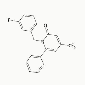 O=c1cc(C(F)(F)F)cc(-c2ccccc2)n1Cc1cccc(F)c1